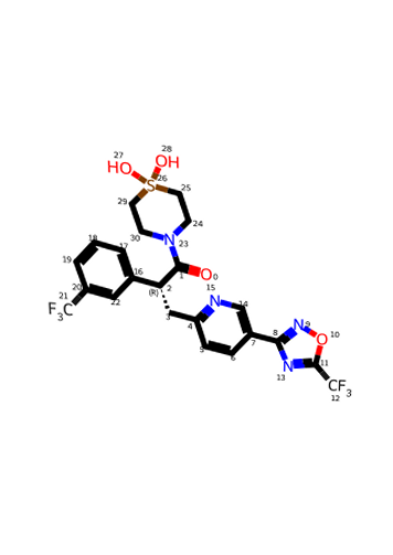 O=C([C@H](Cc1ccc(-c2noc(C(F)(F)F)n2)cn1)c1cccc(C(F)(F)F)c1)N1CCS(O)(O)CC1